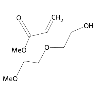 C=CC(=O)OC.COCCOCCO